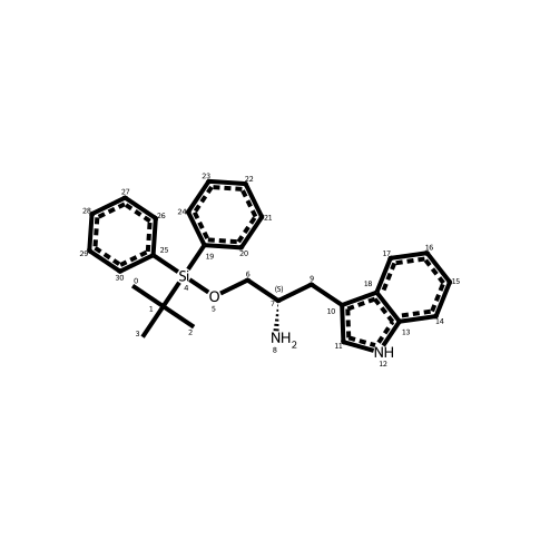 CC(C)(C)[Si](OC[C@@H](N)Cc1c[nH]c2ccccc12)(c1ccccc1)c1ccccc1